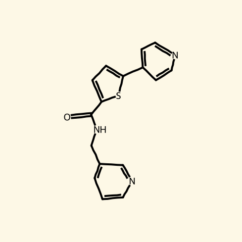 O=C(NCc1cccnc1)c1ccc(-c2ccncc2)s1